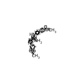 CCCS(=O)(=O)N1CCCN(c2cc(-n3nc(Nc4ccc(N5CCN(C(=O)OCC)CC5)cc4)nc3N)ncn2)CC1